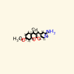 COc1ccc2c(C)c(Cc3ccnc(N)c3)c(=O)oc2c1